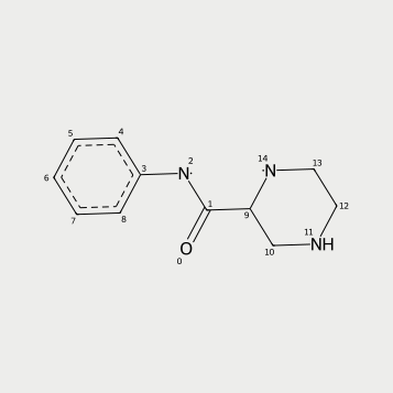 O=C([N]c1ccccc1)C1CNCC[N]1